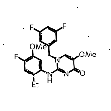 CCc1cc(F)c(OC)cc1Nc1nc(=O)c(OC)cn1Cc1cc(F)cc(F)c1